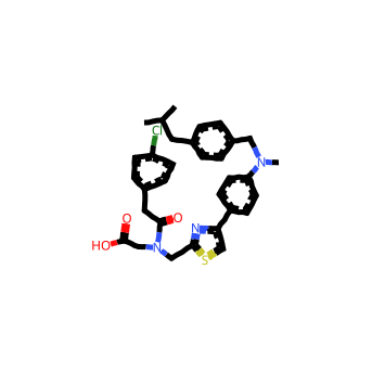 CC(C)Cc1ccc(CN(C)c2ccc(-c3csc(CN(CC(=O)O)C(=O)Cc4ccc(Cl)cc4)n3)cc2)cc1